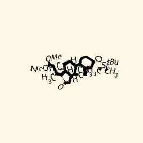 COC(C[C@@H](C)[C@H]1C(=O)C[C@H]2[C@@H]3CC=C4C[C@@H](O[Si](C)(C)C(C)(C)C)CCC4(C)[C@H]3CC[C@]12C)OC